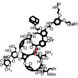 CCNCCOc1ccc(NC(=O)Oc2cc(C)c3c(c2)[C@@H](C(=O)NC2C4CC5CC(C4)CC2C5)NC(=O)[C@H]2NC(=O)[C@H](NC(=O)[C@@H]4NC(=O)[C@H](CC(N)=O)NC(=O)[C@H](NC(=O)[C@@H](CC(C)C)NC)[C@H](O)c5ccc(c(Cl)c5)Oc5cc4cc(c5O[C@@H]4O[C@H](CO)[C@@H](O)[C@H](O)[C@H]4O[C@H]4C[C@](C)(N)[C@H](O)[C@H](C)O4)Oc4ccc(cc4Cl)[C@H]2O)c2ccc(O)c-3c2)cc1OCCNCC